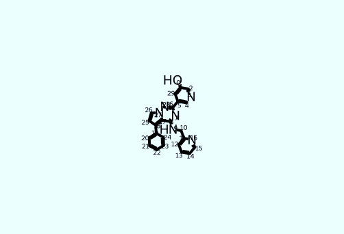 Oc1cncc(-c2nc(NCc3ccccn3)c3c(-c4ccccc4)ccn3n2)c1